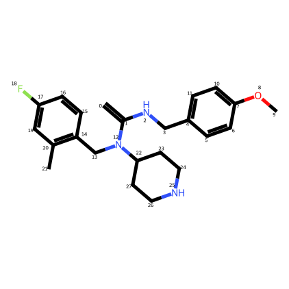 C=C(NCc1ccc(OC)cc1)N(Cc1ccc(F)cc1C)C1CCNCC1